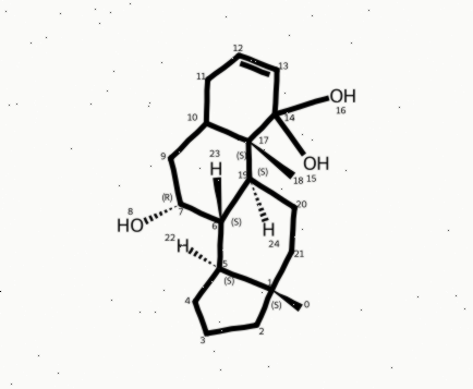 C[C@@]12CCC[C@H]1[C@@H]1[C@H](O)CC3CC=CC(O)(O)[C@]3(C)[C@H]1CC2